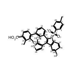 Cc1ccc(S(=O)(=O)n2c(-c3cccc(-c4ccc(C(=O)O)c(C)c4Cl)c3)c(-c3ccsc3C#N)c3cc(F)ccc32)cc1